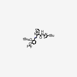 CC(C)(C)COc1c(/C=C/c2nc3sccn3c2C(=O)Nc2nc(C(C)(C)C)cs2)cccc1OC(F)F